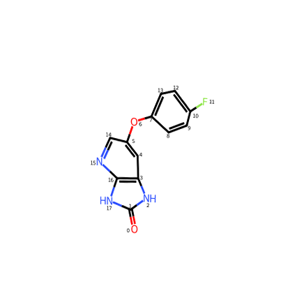 O=c1[nH]c2cc(Oc3ccc(F)cc3)cnc2[nH]1